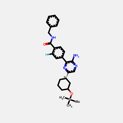 CC(C)(C)[Si](C)(C)OC1CCC[C@H](c2cnc(N)c(-c3ccc(C(=O)NCc4ccccc4)c(F)c3)n2)C1